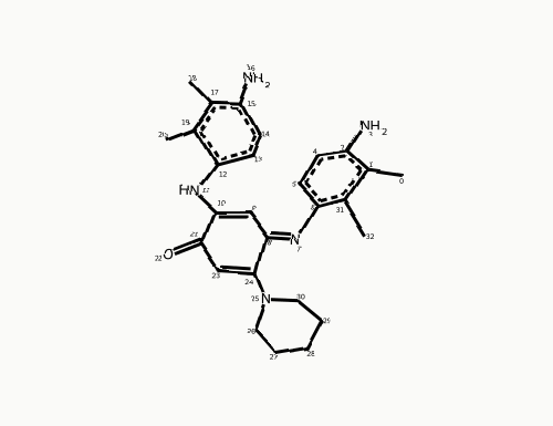 Cc1c(N)ccc(N=C2C=C(Nc3ccc(N)c(C)c3C)C(=O)C=C2N2CCCCC2)c1C